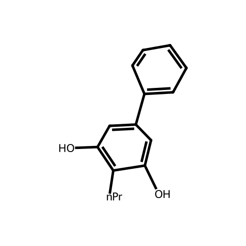 CCCc1c(O)cc(-c2ccccc2)cc1O